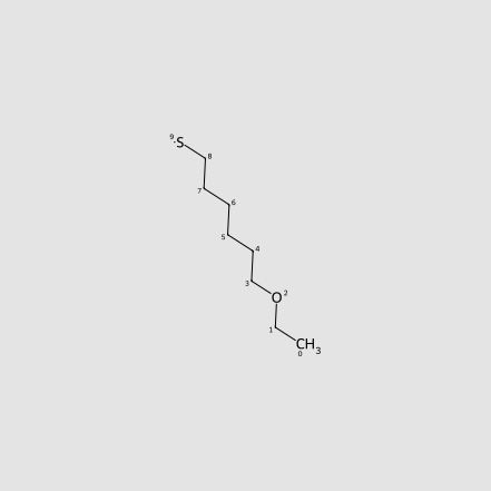 CCOCCCCCC[S]